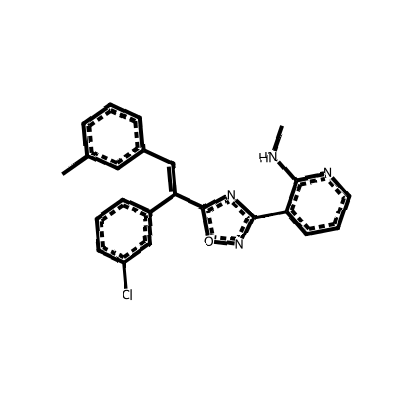 CNc1ncccc1-c1noc(C(=Cc2cccc(C)c2)c2cccc(Cl)c2)n1